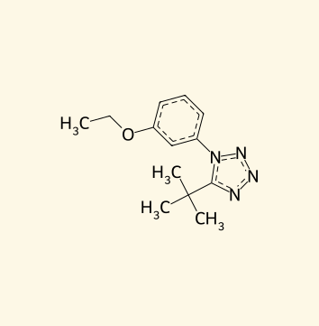 CCOc1cccc(-n2nnnc2C(C)(C)C)c1